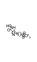 O=C(NO)c1cnc(N2CCN(S(=O)(=O)C(F)(F)F)CC2)s1